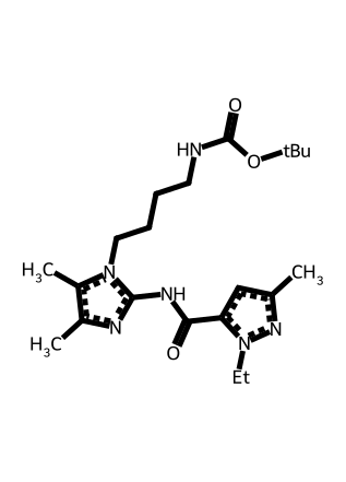 CCn1nc(C)cc1C(=O)Nc1nc(C)c(C)n1CCCCNC(=O)OC(C)(C)C